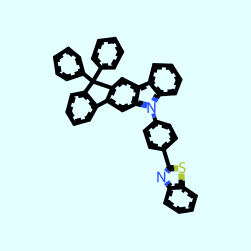 c1ccc(C2(c3ccccc3)c3ccccc3-c3cc4c(cc32)c2ccccc2n4-c2ccc(-c3nc4ccccc4s3)cc2)cc1